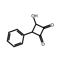 O=C1C(=O)C(c2ccccc2)C1O